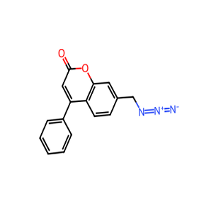 [N-]=[N+]=NCc1ccc2c(-c3ccccc3)cc(=O)oc2c1